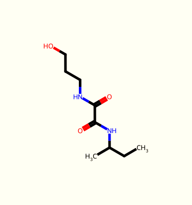 CCC(C)NC(=O)C(=O)NCCCO